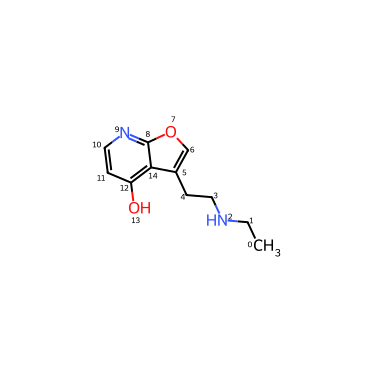 CCNCCc1coc2nccc(O)c12